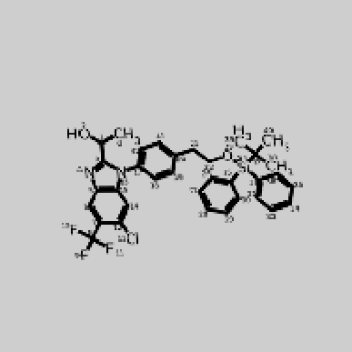 CC(O)c1nc2cc(C(F)(F)F)c(Cl)cc2n1-c1ccc(CCO[Si](c2ccccc2)(c2ccccc2)C(C)(C)C)cc1